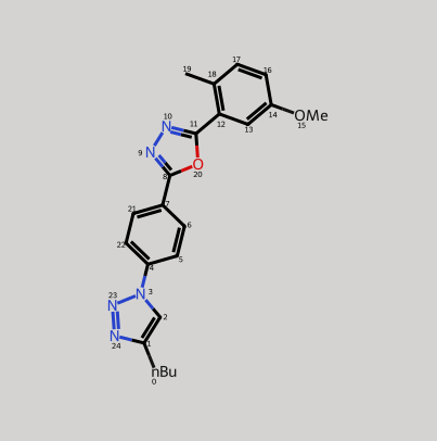 CCCCc1cn(-c2ccc(-c3nnc(-c4cc(OC)ccc4C)o3)cc2)nn1